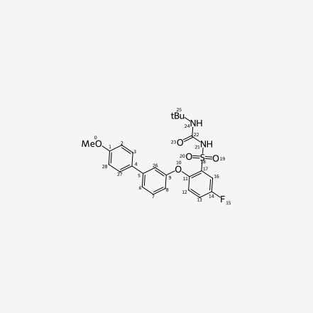 COc1ccc(-c2cccc(Oc3ccc(F)cc3S(=O)(=O)NC(=O)NC(C)(C)C)c2)cc1